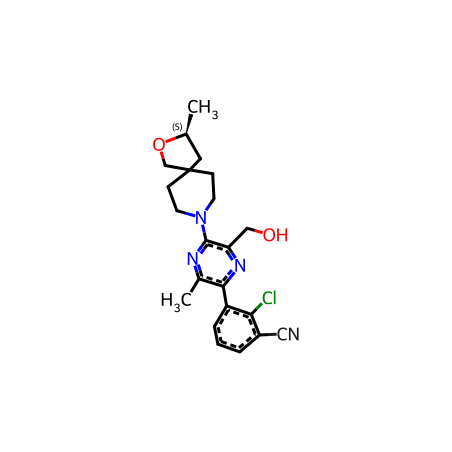 Cc1nc(N2CCC3(CC2)CO[C@@H](C)C3)c(CO)nc1-c1cccc(C#N)c1Cl